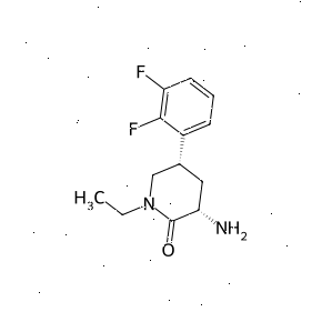 CCN1C[C@H](c2cccc(F)c2F)C[C@H](N)C1=O